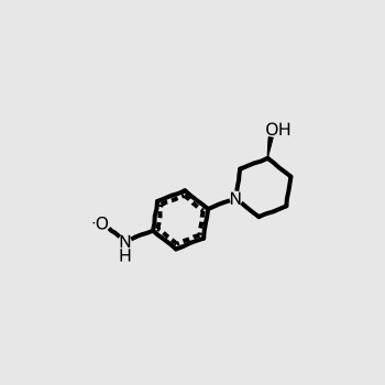 [O]Nc1ccc(N2CCC[C@H](O)C2)cc1